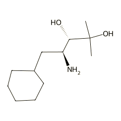 CC(C)(O)[C@@H](O)[C@@H](N)CC1CCCCC1